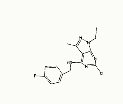 CCn1nc(C)c2c(NCc3ccc(F)cc3)nc(Cl)nc21